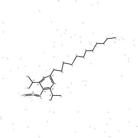 CCCCCCCCCCCCc1cc(C(C)C)c(N=C=O)c(C(C)C)c1